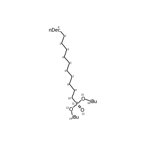 CCCCCCCCCCCCCCCCCCCCP(=O)(OC(C)CC)OC(C)CC